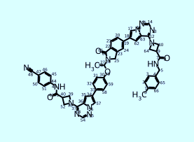 Cc1ccc(CNC(=O)C2CN(c3ncnn4cc(-c5ccc6c(c5)CN(C(C)Oc5ccc(-c7cc8c(N9CC(C(=O)Nc%10ccc(C#N)cc%10)C9)ncnn8c7)cc5)C6=O)cc34)C2)cc1